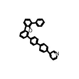 c1ccc(-c2cccc3c2oc2c(-c4ccc(-c5ccc(-c6cccnc6)cc5)cc4)cccc23)cc1